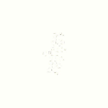 N#Cc1cccc2c1oc1c(N(c3ccccc3)c3cc4c(c5ccccc35)-c3c(cc(N(c5ccccc5)c5cccc6c5oc5c(C#N)cccc56)c5ccccc35)C43c4ccccc4-n4c5ccccc5c5cccc3c54)cccc12